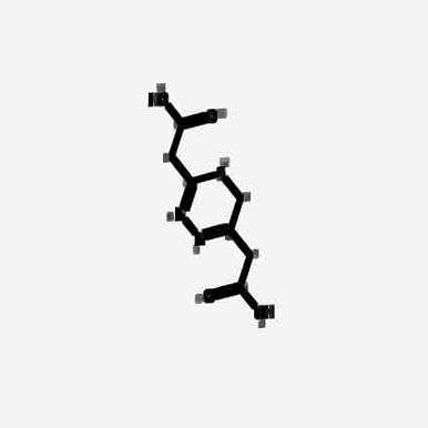 O=C(O)CC1=NN=C(CC(=O)O)SC1